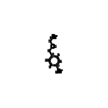 BrCOCc1ccc(Br)cc1